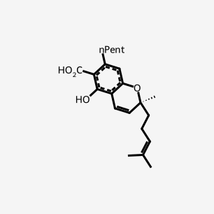 CCCCCc1cc2c(c(O)c1C(=O)O)C=C[C@](C)(CCC=C(C)C)O2